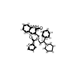 O=C(c1cccs1)N(Cc1cc2ccccc2[nH]c1=O)CC(c1ccccc1)N1CCCCC1